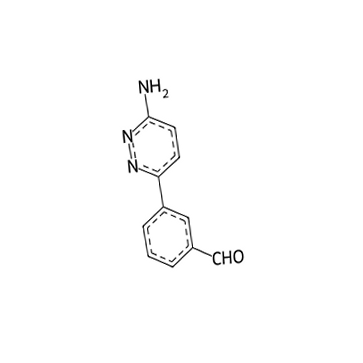 Nc1ccc(-c2cccc(C=O)c2)nn1